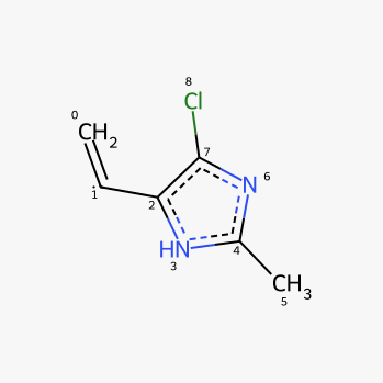 C=[C]c1[nH]c(C)nc1Cl